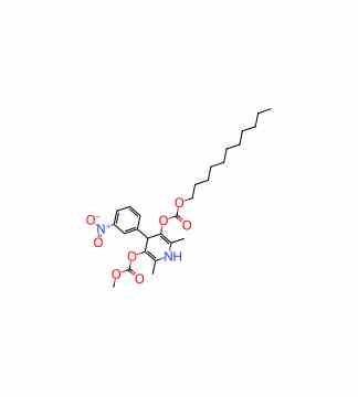 CCCCCCCCCCCOC(=O)OC1=C(C)NC(C)=C(OC(=O)OC)C1c1cccc([N+](=O)[O-])c1